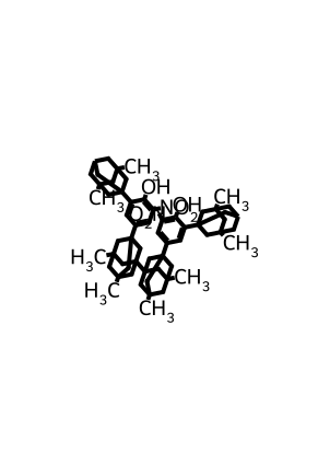 CC12CC3CC(C)(C1)CC(c1cc(C45CC6(C)CC(C)(C4)CC(C47CC8(C)CC(C)(CC(c9cc([N+](=O)[O-])c(O)c(C%10%11CC%12CC(C)(CC(C)(C%12)C%10)C%11)c9)(C8)C4)C7)(C6)C5)cc([N+](=O)[O-])c1O)(C3)C2